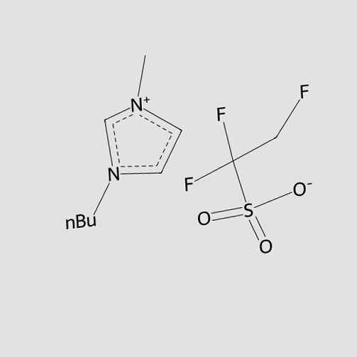 CCCCn1cc[n+](C)c1.O=S(=O)([O-])C(F)(F)CF